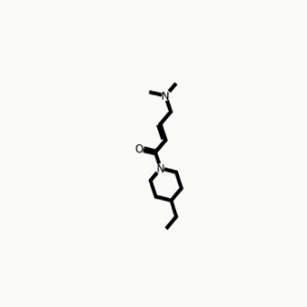 CCC1CCN(C(=O)/C=C/CN(C)C)CC1